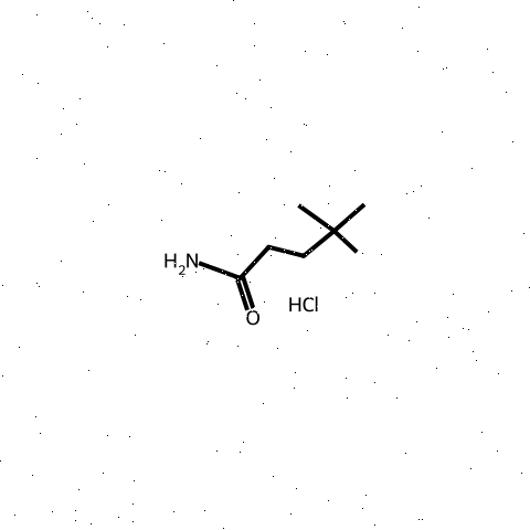 CC(C)(C)CCC(N)=O.Cl